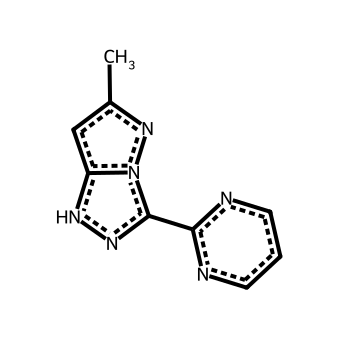 Cc1cc2[nH]nc(-c3ncccn3)n2n1